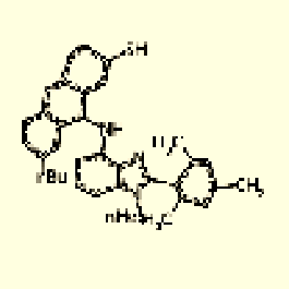 CCCCCCn1c(-c2c(C)cc(C)cc2C)nc2c(Nc3c4cc(S)ccc4cc4ccc(CCCC)cc34)cccc21